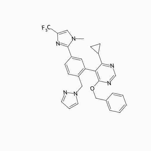 Cn1cc(C(F)(F)F)nc1-c1ccc(Cn2cccn2)c(-c2c(OCc3ccccc3)ncnc2C2CC2)c1